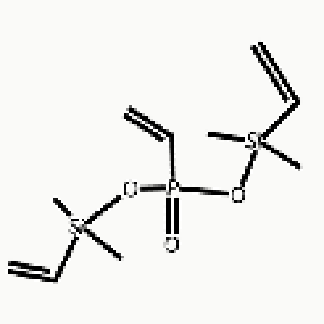 C=C[Si](C)(C)OP(=O)(C=C)O[Si](C)(C)C=C